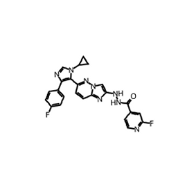 O=C(NNc1cn2nc(-c3c(-c4ccc(F)cc4)ncn3C3CC3)ccc2n1)c1ccnc(F)c1